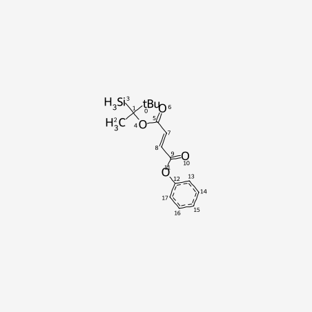 CC(C)(C)C(C)([SiH3])OC(=O)C=CC(=O)Oc1ccccc1